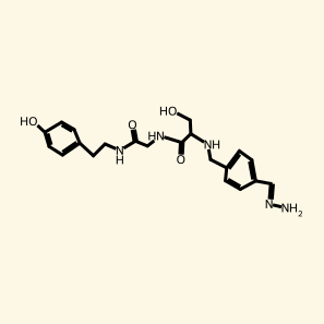 NN=Cc1ccc(CNC(CO)C(=O)NCC(=O)NCCc2ccc(O)cc2)cc1